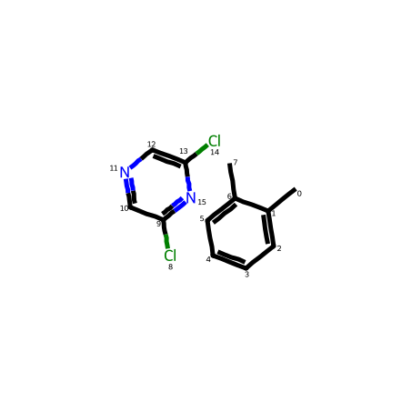 Cc1ccccc1C.Clc1cncc(Cl)n1